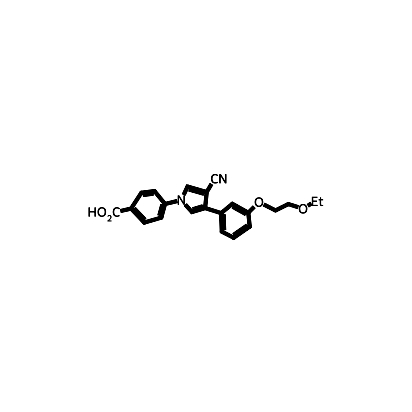 CCOCCOc1cccc(-c2cn(-c3ccc(C(=O)O)cc3)cc2C#N)c1